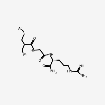 CC(=O)SCC(CC(C)C)C(=O)NCC(=O)N[C@@H](CCCNC(=N)N)C(N)=O